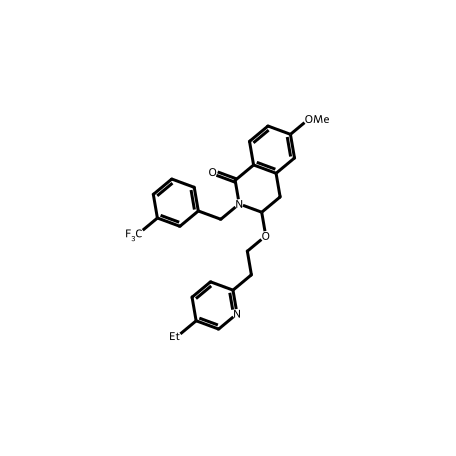 CCc1ccc(CCOC2Cc3cc(OC)ccc3C(=O)N2Cc2cccc(C(F)(F)F)c2)nc1